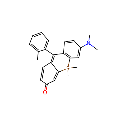 Cc1ccccc1C1=C2C=CC(=O)C=C2S(C)(C)c2cc(N(C)C)ccc21